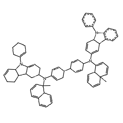 CC12C=CC=CC1C(N(C1=CC3c4ccccc4N(c4ccccc4)C3C=C1)C1C=CC(C3C=CC(N(C4CC=C5C(C4)C4CCC=CC4N5C4=CCCCC4)C4(C)C=CC=C5C=CC=CC54)=CC3)C=C1)=CC=C2